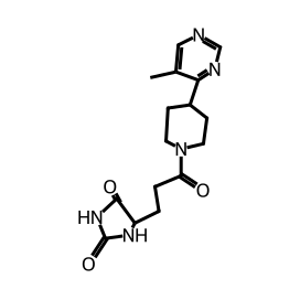 Cc1cncnc1C1CCN(C(=O)CCC2NC(=O)NC2=O)CC1